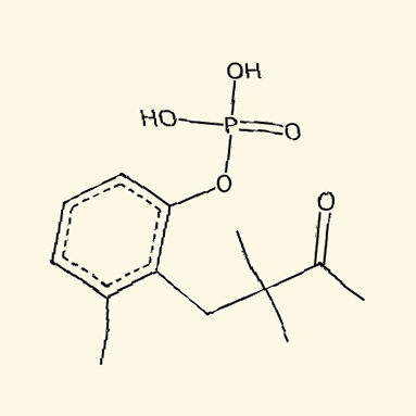 CC(=O)C(C)(C)Cc1c(C)cccc1OP(=O)(O)O